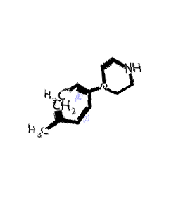 C=C(C)/C=C\C(=C/C)N1CCNCC1